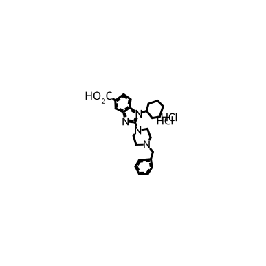 Cl.Cl.O=C(O)c1ccc2c(c1)nc(N1CCN(Cc3ccccc3)CC1)n2C1CCCCC1